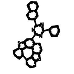 c1ccc(-c2nc(-c3ccc4ccccc4c3)nc(-c3cc4sc5cccc6c5c4c4c3ccc3sc5cccc-6c5c34)n2)cc1